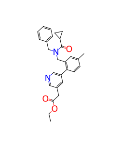 CCOC(=O)Cc1cncc(-c2ccc(C)cc2CN(Cc2ccccc2)C(=O)C2CC2)c1